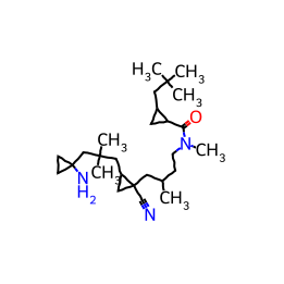 CC(CCN(C)C(=O)C1CC1CC(C)(C)C)CC1(C#N)CC1CC(C)(C)CC1(N)CC1